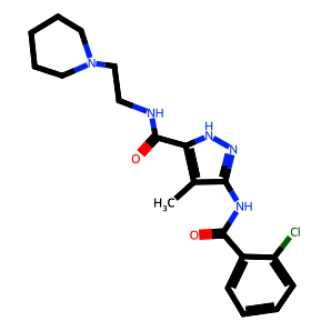 Cc1c(NC(=O)c2ccccc2Cl)n[nH]c1C(=O)NCCN1CCCCC1